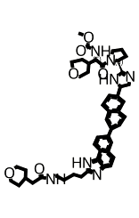 COC(=O)N[C@H](C(=O)N1CCC[C@H]1C1=NCC(c2ccc3cc(-c4ccc5c(ccc6nc(CCCCNC(=O)CC7CCOCC7)[nH]c65)c4)ccc3c2)N1)C1CCOCC1